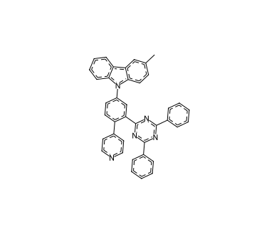 Cc1ccc2c(c1)c1ccccc1n2-c1ccc(-c2ccncc2)c(-c2nc(-c3ccccc3)nc(-c3ccccc3)n2)c1